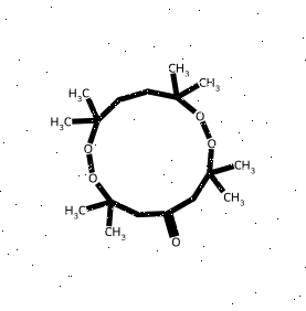 CC1(C)CCC(C)(C)OOC(C)(C)CC(=O)CC(C)(C)OO1